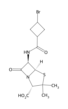 CC1(C)S[C@@H]2[C@H](NC(=O)C3CC(Br)C3)C(=O)N2[C@H]1C(=O)O